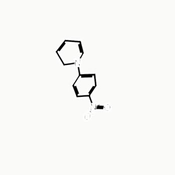 O=[N+]([O-])c1ccc(N2C=CC=CC2)cc1